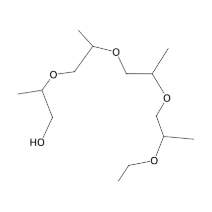 CCOC(C)COC(C)COC(C)COC(C)CO